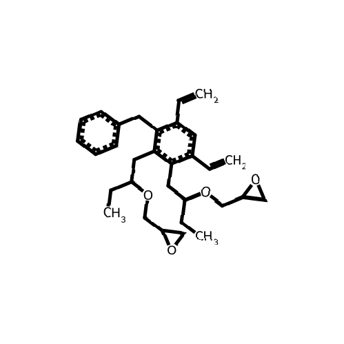 C=Cc1cc(C=C)c(CC(CC)OCC2CO2)c(CC(CC)OCC2CO2)c1Cc1ccccc1